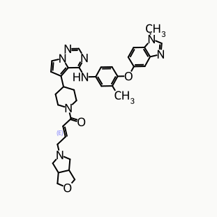 Cc1cc(Nc2ncnn3ccc(C4CCN(C(=O)/C=C/CN5CC6COCC6C5)CC4)c23)ccc1Oc1ccc2c(c1)ncn2C